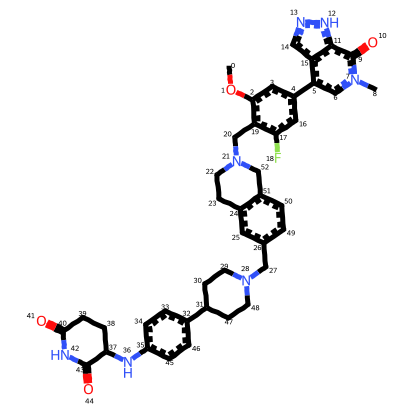 COc1cc(-c2cn(C)c(=O)c3[nH]ncc23)cc(F)c1CN1CCc2cc(CN3CCC(c4ccc(NC5CCC(=O)NC5=O)cc4)CC3)ccc2C1